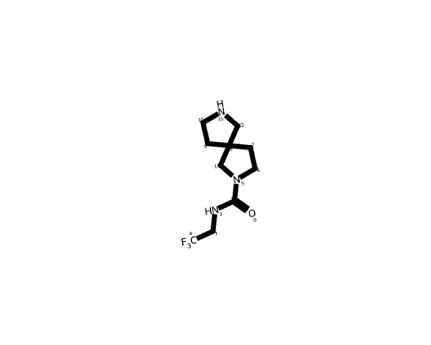 O=C(NCC(F)(F)F)N1CCC2(CCNC2)C1